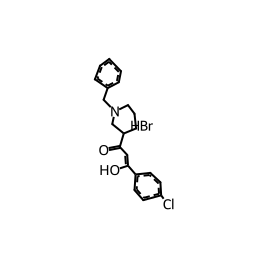 Br.O=C(C=C(O)c1ccc(Cl)cc1)C1CCCN(Cc2ccccc2)C1